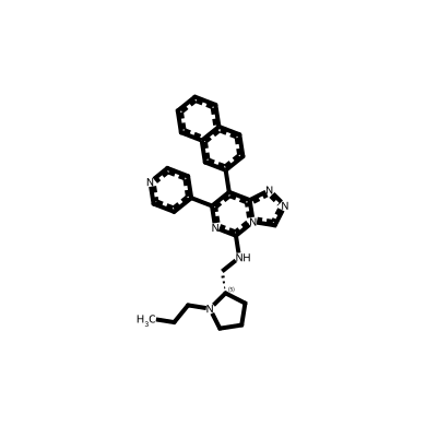 CCCN1CCC[C@H]1CNc1nc(-c2ccncc2)c(-c2ccc3ccccc3c2)c2nncn12